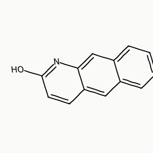 Oc1ccc2cc3ccccc3cc2n1